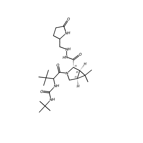 CC(C)(C)NC(=O)NC(C(=O)N1C[C@H]2[C@@H]([C@H]1C(=O)NNCC1CCC(=O)N1)C2(C)C)C(C)(C)C